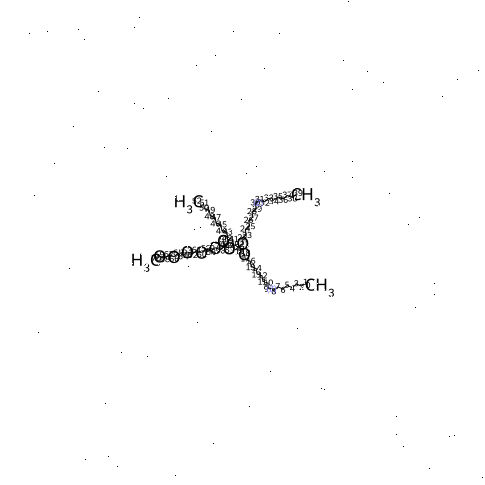 CCCCCCCC/C=C\CCCCCCCCOCC(OCCCCCCCC/C=C\CCCCCCCC)C(CCCCCCCCCCCC)OC(=O)COCCOCCOCCOCCOC